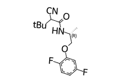 C[C@H](COc1cc(F)ccc1F)NC(=O)C(C#N)C(C)(C)C